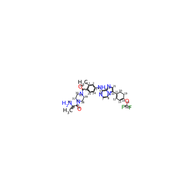 Cc1cc(Nc2nccn3c(C4=CC=C(OC(F)F)CC4)cnc23)ccc1C(=O)N1CCN(C(=O)[C@H](C)N)CC1